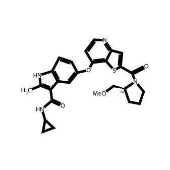 COC[C@@H]1CCCN1C(=O)c1cc2nccc(Oc3ccc4[nH]c(C)c(C(=O)NC5CC5)c4c3)c2s1